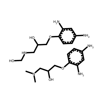 CN(C)CC(O)COc1ccc(N)cc1N.Nc1ccc(OCC(O)CNCO)c(N)c1